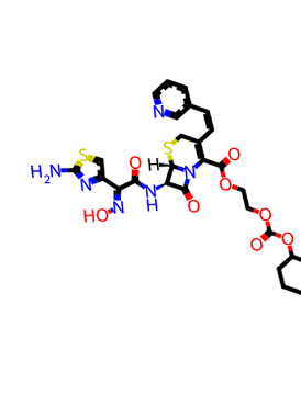 Nc1nc(C(=NO)C(=O)N[C@@H]2C(=O)N3C(C(=O)OCCOC(=O)OC4CCCCC4)=C(/C=C\c4cccnc4)CS[C@@H]23)cs1